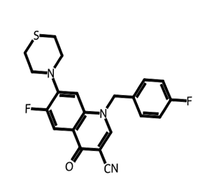 N#Cc1cn(Cc2ccc(F)cc2)c2cc(N3CCSCC3)c(F)cc2c1=O